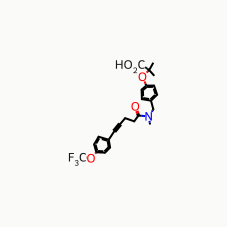 CN(Cc1ccc(OC(C)(C)C(=O)O)cc1)C(=O)CCC#Cc1ccc(OC(F)(F)F)cc1